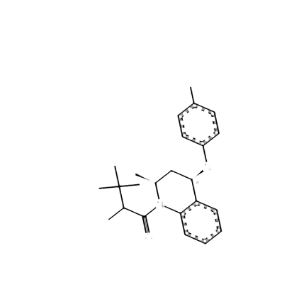 CC(C(=O)N1c2ccccc2[C@H](Nc2ccc(Br)cc2)C[C@@H]1C)C(C)(C)C